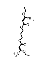 CCOC(N)=CC(=O)OCCCOC(=O)C=C(N)OCC